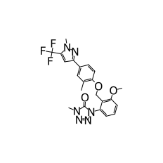 COc1cccc(-n2nnn(C)c2=O)c1COc1ccc(-c2cc(C(F)(F)F)n(C)n2)cc1C